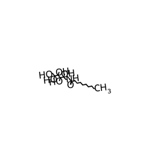 CCCCCCCCCC(=O)NCC(O)C(O)C(O)C(O)CO